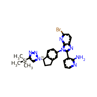 C[Si](C)(C)c1cn([C@H]2CCc3cc(-n4c(-c5cccnc5N)nc5ccc(Br)nc54)ccc32)nn1